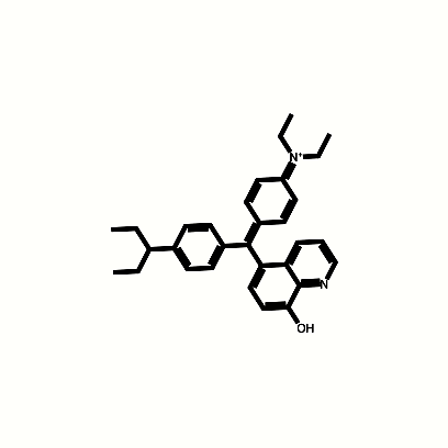 CCC(CC)c1ccc(C(=C2C=CC(=[N+](CC)CC)C=C2)c2ccc(O)c3ncccc23)cc1